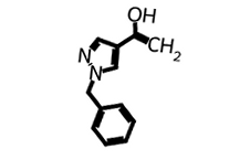 C=C(O)c1cnn(Cc2ccccc2)c1